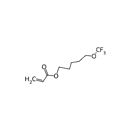 C=CC(=O)OCCCCCOC(F)(F)F